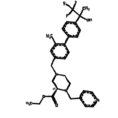 CCOC(=O)[C@H]1CN(Cc2ccc(-c3ccc(C(C)(O)C(F)(F)F)cc3)c(C)c2)CCN1Cc1ccncc1